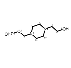 O=CO[CH]N1CCN(CCO)CC1